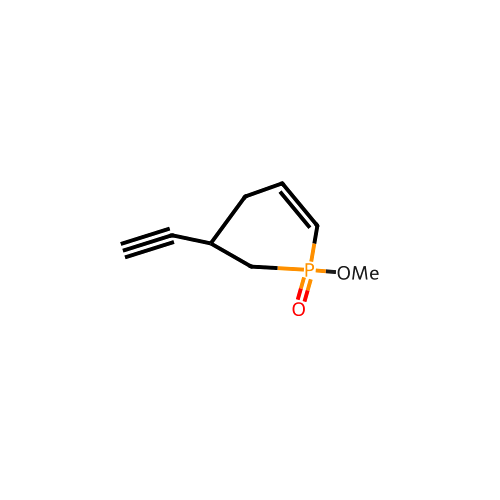 C#CC1CC=CP(=O)(OC)C1